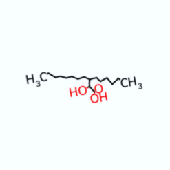 CCCCCCCCC(CCCCCC)C(O)C(=O)O